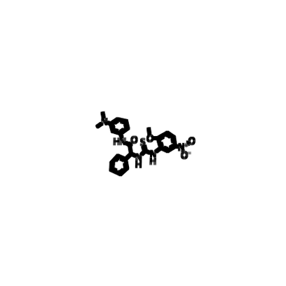 COc1ccc([N+](=O)[O-])cc1NC(=S)NC(C(=O)Nc1cccc(N(C)C)c1)c1ccccc1